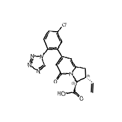 C=C[C@H]1Cc2cc(-c3cc(Cl)ccc3-n3cnnn3)cc(=O)n2[C@@H]1C(=O)O